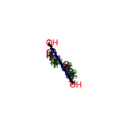 O=C(N(CCCCO)CCCN(CCCCN(CCCN(CCCCO)C(=O)C(F)(F)F)C(=O)C(F)(F)F)C(=O)C(F)(F)F)C(F)(F)F